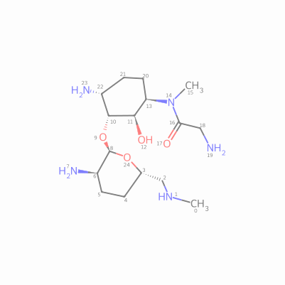 CNC[C@@H]1CC[C@@H](N)[C@@H](O[C@H]2[C@H](O)[C@H](N(C)C(=O)CN)CC[C@H]2N)O1